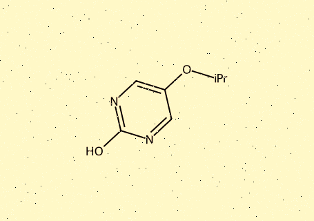 CC(C)Oc1cnc(O)nc1